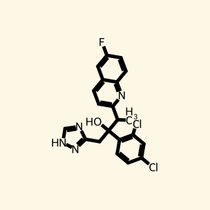 CC(c1ccc2cc(F)ccc2n1)C(O)(Cc1nc[nH]n1)c1ccc(Cl)cc1Cl